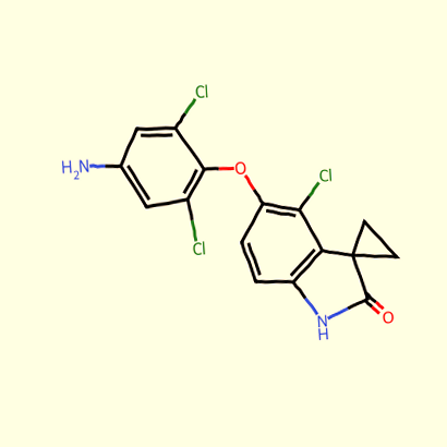 Nc1cc(Cl)c(Oc2ccc3c(c2Cl)C2(CC2)C(=O)N3)c(Cl)c1